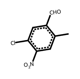 Cc1cc([N+](=O)[O-])c(Cl)cc1C=O